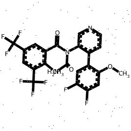 COc1cc(F)c(F)cc1-c1ccncc1N(C(N)=O)C(=O)c1cc(C(F)(F)F)cc(C(F)(F)F)c1C